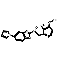 COc1ccnc(C[S@@+]([O-])c2nc3cc(-n4cccc4)ccc3[nH]2)c1C